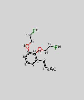 CC(=O)C=Cc1cccc(OCCF)c1OCCF